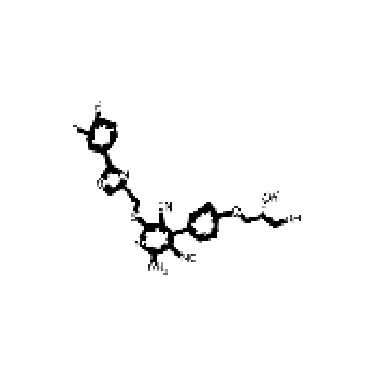 [C-]#[N+]c1c(N)nc(SCc2coc(-c3ccc(F)c(F)c3)n2)c(C#N)c1-c1ccc(OC[C@H](O)CO)cc1